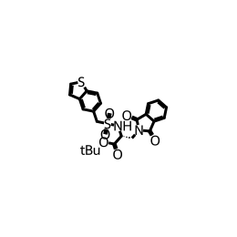 CC(C)(C)OC(=O)[C@@H](CN1C(=O)c2ccccc2C1=O)NS(=O)(=O)Cc1ccc2sccc2c1